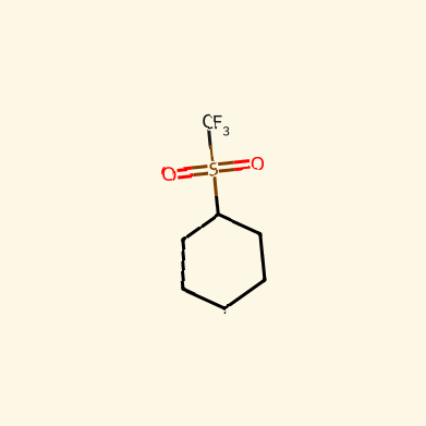 O=S(=O)(C1CC[CH]CC1)C(F)(F)F